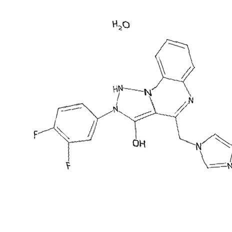 O.OC1=C2C(Cn3ccnc3)=Nc3ccccc3N2NN1c1ccc(F)c(F)c1